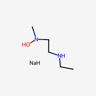 CCNCCN(C)O.[NaH]